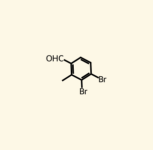 Cc1c(C=O)ccc(Br)c1Br